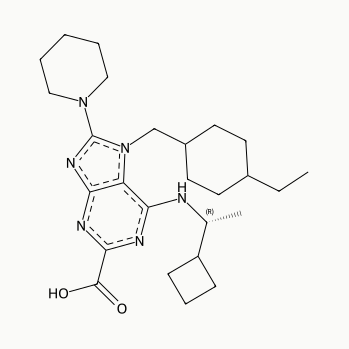 CCC1CCC(Cn2c(N3CCCCC3)nc3nc(C(=O)O)nc(N[C@H](C)C4CCC4)c32)CC1